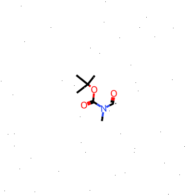 CN([C]=O)C(=O)OC(C)(C)C